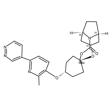 Cc1nc(-c2ccnnc2)ccc1O[C@H]1CC[C@H](O[C@@H]2C[C@H]3CC[C@@H](C2)N3C(=O)OC(C)(C)C)CC1